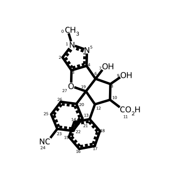 Cn1cc2c(n1)C1(O)C(O)C(C(=O)O)C(c3ccccc3)C1(c1ccc(C#N)cc1)O2